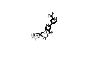 CC(C)CC(N)(CO)COc1cnc(-c2ccnc(C(F)F)c2)cc1C(F)F